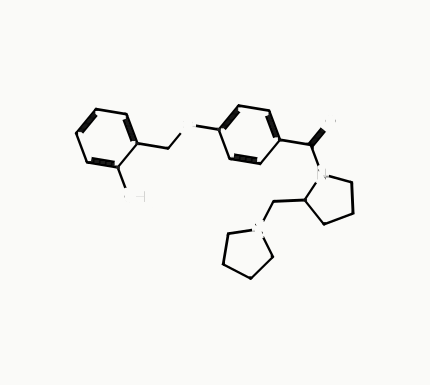 Cc1ccccc1COc1ccc(C(=O)N2CCCC2CN2CCCC2)cc1